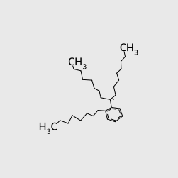 CCCCCCCC[C](CCCCCCCC)c1ccccc1CCCCCCCC